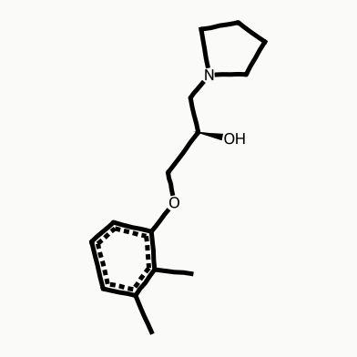 Cc1cccc(OC[C@H](O)CN2CCCC2)c1C